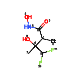 CCC(C(=O)NO)C(C)(O)C(F)F